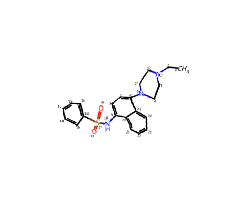 CCN1CCN(c2ccc(NS(=O)(=O)c3ccccc3)c3ccccc23)CC1